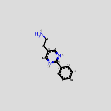 NCCc1cnc(-c2ccccc2)nc1